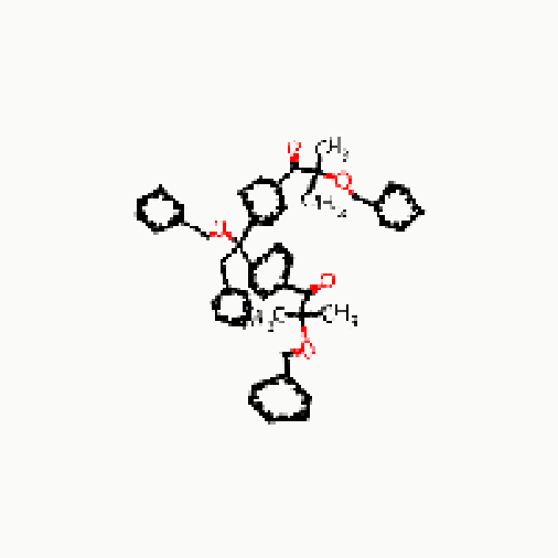 CC(C)(OCc1ccccc1)C(=O)c1ccc(C(Cc2ccccc2)(OCc2ccccc2)c2ccc(C(=O)C(C)(C)OCc3ccccc3)cc2)cc1